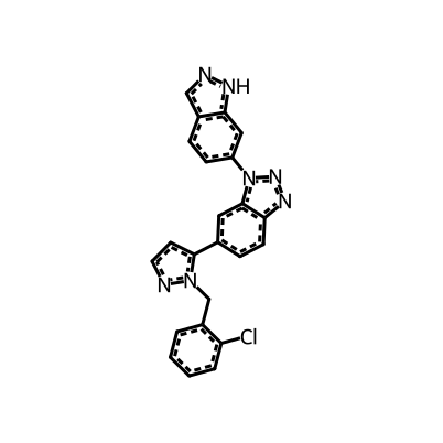 Clc1ccccc1Cn1nccc1-c1ccc2nnn(-c3ccc4cn[nH]c4c3)c2c1